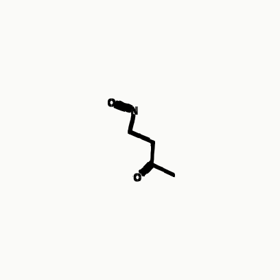 CC(=O)CCN=O